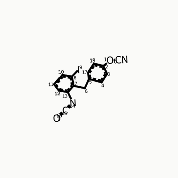 N#COc1ccc(Cc2c(I)cccc2N=C=O)cc1